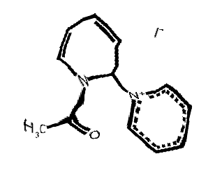 CC(=O)N1C=CC=CC1[n+]1ccccc1.[I-]